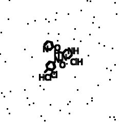 Cc1ccc(NC(=O)N2CCNCC2COc2cccnc2)cc1Cl.Cl.Cl